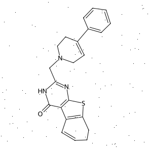 O=c1[nH]c(CN2CC=C(c3ccccc3)CC2)nc2sc3c(c12)C=CCC3